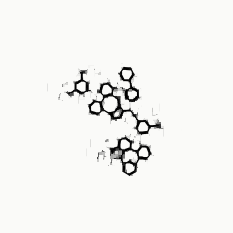 CC(C)(C)c1cc(-n2c3cccc4c3c3c(c(-n5c6ccccc6c6ccccc65)ccc32)C(C)(C)c2cc-4ccc2CC(C)(C)c2cc(-n3c4cccc5c4c4c(c(C(C)(C)C)ccc43)C(C)(C)c3cccc-5c3)cc(C(C)(C)C)c2)cc(C(C)(C)C)c1